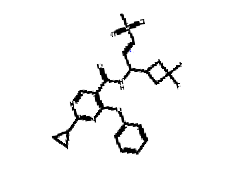 CS(=O)(=O)/C=C/C(NC(=O)c1cnc(C2CC2)nc1Oc1ccccc1)C1CC(F)(F)C1